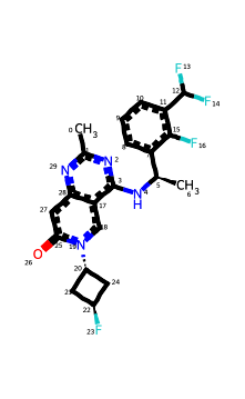 Cc1nc(N[C@H](C)c2cccc(C(F)F)c2F)c2cn([C@H]3C[C@H](F)C3)c(=O)cc2n1